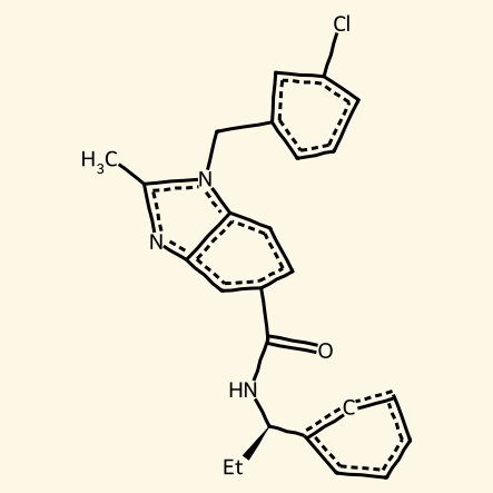 CC[C@@H](NC(=O)c1ccc2c(c1)nc(C)n2Cc1cccc(Cl)c1)c1ccccc1